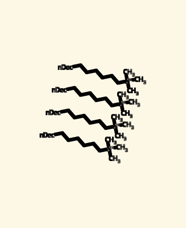 CCCCCCCCCCCCCCCC[N+](C)(C)C.CCCCCCCCCCCCCCCC[N+](C)(C)C.CCCCCCCCCCCCCCCC[N+](C)(C)C.CCCCCCCCCCCCCCCC[N+](C)(C)C